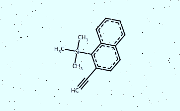 C#Cc1ccc2ccccc2c1[Si](C)(C)C